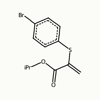 C=C(Sc1ccc(Br)cc1)C(=O)OC(C)C